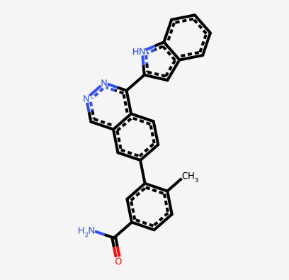 Cc1ccc(C(N)=O)cc1-c1ccc2c(-c3cc4ccccc4[nH]3)nncc2c1